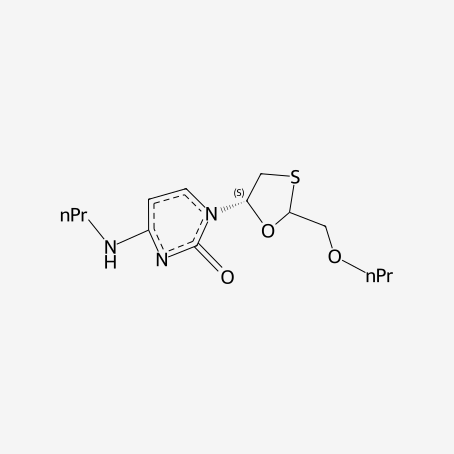 CCCNc1ccn([C@@H]2CSC(COCCC)O2)c(=O)n1